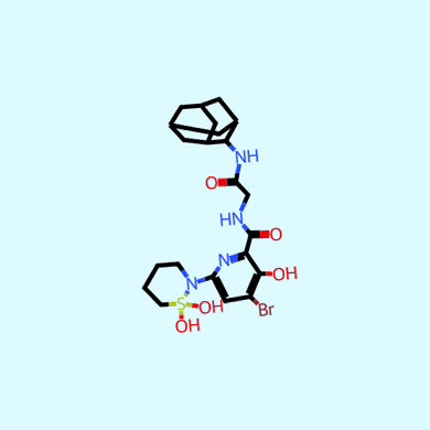 O=C(CNC(=O)c1nc(N2CCCCS2(O)O)cc(Br)c1O)NC1C2CC3CC(C2)CC1C3